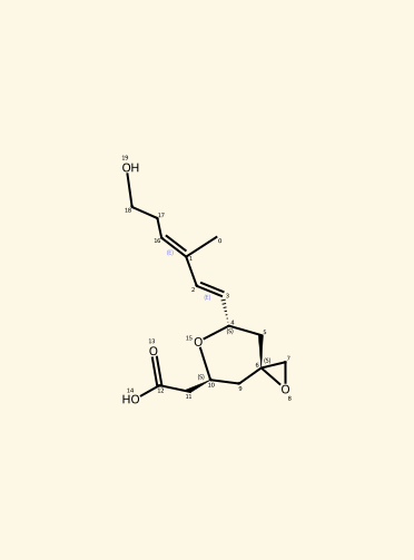 CC(/C=C/[C@@H]1C[C@]2(CO2)C[C@@H](CC(=O)O)O1)=C\CCO